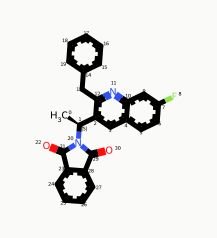 C[C@@H](c1cc2ccc(F)cc2nc1Cc1ccccc1)N1C(=O)c2ccccc2C1=O